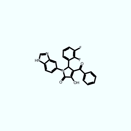 O=C(C1=C(O)C(=O)N(c2ccc3[nH]cnc3c2)C1c1cccc(F)c1F)c1ccccc1